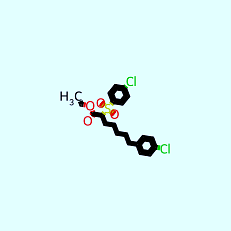 CCOC(=O)C(CCCCCc1ccc(Cl)cc1)S(=O)(=O)c1ccc(Cl)cc1